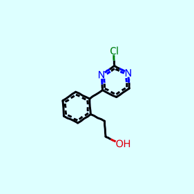 OCCc1ccccc1-c1ccnc(Cl)n1